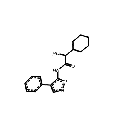 O=C(Nc1oncc1-c1ccccc1)C(O)C1CCCCC1